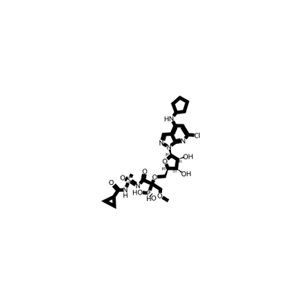 COCC(OC[C@H]1O[C@@H](n2ncc3c(NC4CCCC4)cc(Cl)nc32)[C@H](O)[C@@H]1O)(C(=O)N=S(C)(=O)NC(=O)C1CC1)[PH](=O)O